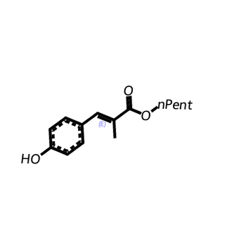 CCCCCOC(=O)/C(C)=C/c1ccc(O)cc1